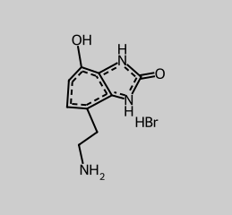 Br.NCCc1ccc(O)c2[nH]c(=O)[nH]c12